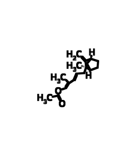 C=C1[C@@H]2CC[C@@H](C2)[C@@]1(C)C/C=C/C(C)=C/OC(C)=O